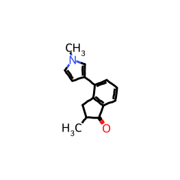 CC1Cc2c(cccc2-c2ccn(C)c2)C1=O